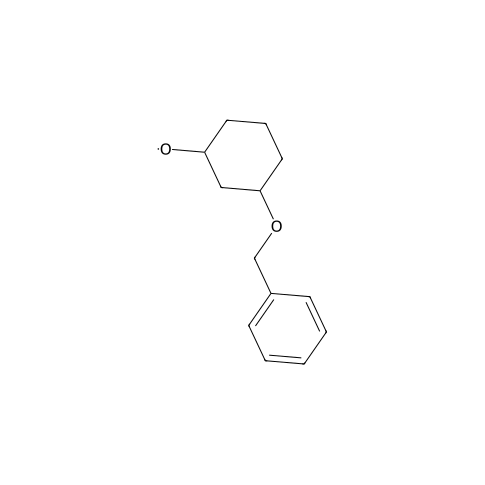 [O]C1CCCC(OCc2ccccc2)C1